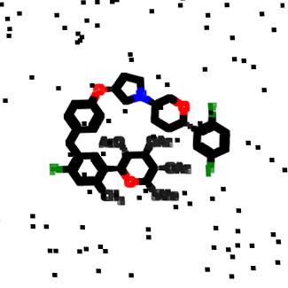 CS[C@H]1O[C@@H](c2cc(Cc3ccc(O[C@@H]4CCN([C@@H]5CC[C@@H](c6cc(F)ccc6F)OC5)C4)cc3)c(F)cc2C)[C@H](OC(C)=O)[C@@H](OC(C)=O)[C@@H]1OC(C)=O